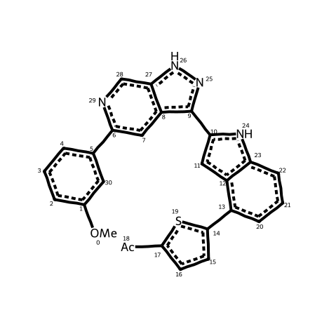 COc1cccc(-c2cc3c(-c4cc5c(-c6ccc(C(C)=O)s6)cccc5[nH]4)n[nH]c3cn2)c1